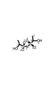 CC(O)S(=O)(=O)[N]S(=O)(=O)C(C)O